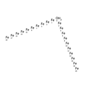 O.[Fe].[Fe].[Fe].[Fe].[Fe].[Fe].[Fe].[Fe].[Fe].[Fe].[Fe].[Fe].[Fe].[Fe].[Fe].[Fe].[Fe].[Fe].[Fe].[Fe]